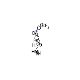 O=C(/C=C/c1ccc(OC(F)(F)F)cc1)N1CCC2CN(C(=O)NCCc3cnn[nH]3)C[C@H]2CC1